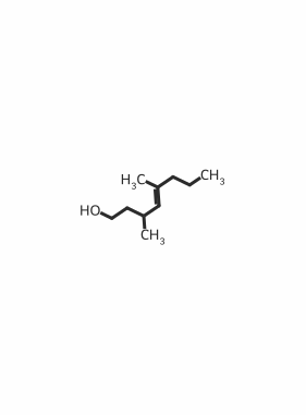 CCCC(C)=CC(C)CCO